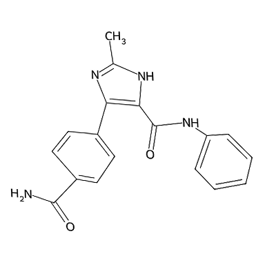 Cc1nc(-c2ccc(C(N)=O)cc2)c(C(=O)Nc2ccccc2)[nH]1